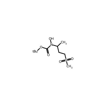 CC(CCS(C)(=O)=O)N(O)C(=O)OC(C)(C)C